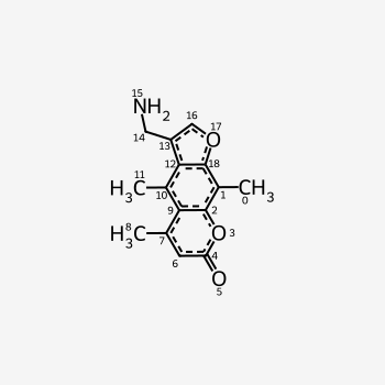 Cc1c2oc(=O)cc(C)c2c(C)c2c(CN)coc12